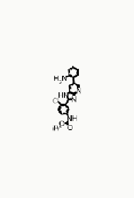 CC(C)OC(=O)Nc1ccc(Cl)c(-c2nc3ncc(-c4ccccc4N)cc3[nH]2)c1